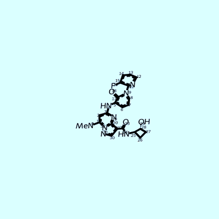 CNc1cc(Nc2cccn(-c3ncccc3F)c2=O)nc2c(C(=O)NC3CC[C@H]3O)cnn12